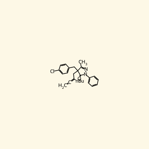 C=C=C(CCCC)CC1(Cc2ccc(Cl)cc2)C(=O)N(c2ccccc2)N=C1C